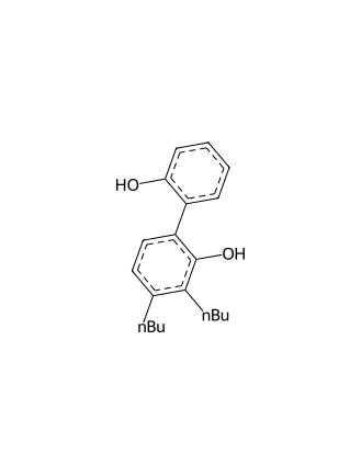 CCCCc1ccc(-c2ccccc2O)c(O)c1CCCC